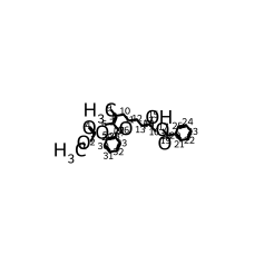 COCC(=O)OCC1=C(C)CC(CC[C@@H](O)COC(=O)c2ccccc2)O[C@H]1c1ccccc1